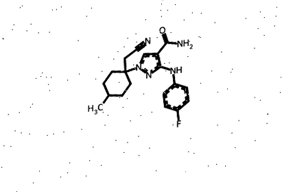 CC1CCC(CC#N)(n2cc(C(N)=O)c(Nc3ccc(F)cc3)n2)CC1